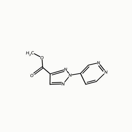 COC(=O)c1cnn(-c2ccnnc2)n1